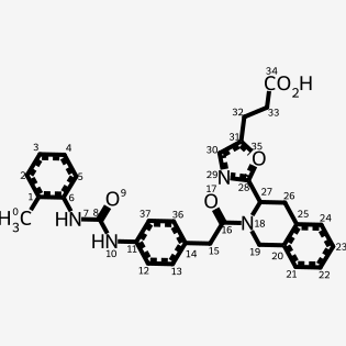 Cc1ccccc1NC(=O)Nc1ccc(CC(=O)N2Cc3ccccc3CC2c2ncc(CCC(=O)O)o2)cc1